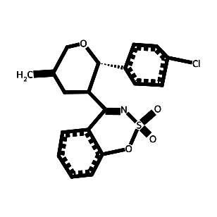 C=C1CO[C@H](c2ccc(Cl)cc2)C(C2=NS(=O)(=O)Oc3ccccc32)C1